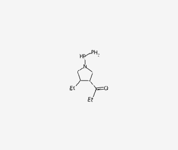 CCC(=O)C1CN(PP)CC1CC